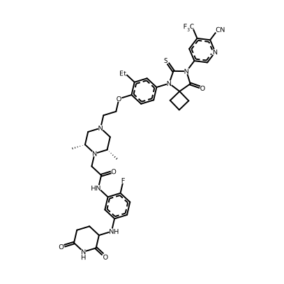 CCc1cc(N2C(=S)N(c3cnc(C#N)c(C(F)(F)F)c3)C(=O)C23CCC3)ccc1OCCN1C[C@@H](C)N(CC(=O)Nc2cc(NC3CCC(=O)NC3=O)ccc2F)[C@@H](C)C1